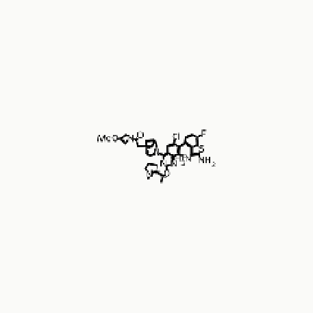 COC1CN(C(=O)CC23CC4CN(c5nc(O[C@@H](C)[C@@H]6CCCN6C)nc6c(F)c(-c7ccc(F)c8sc(N)c(N)c78)c(Cl)cc56)CC2CC43)C1